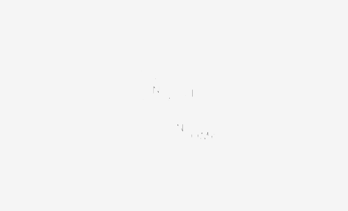 CO/N=C/C1CC2CCC(C1)N2CC(F)(F)F